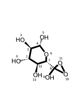 O[C@@H]1[C@@H](O)[C@H](O)O[C@H](C2(O)OO2)[C@H]1O